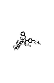 CCc1ccc(C2=C(C)C(C)(CC(F)(F)C(F)(F)C(F)(F)C(F)(F)F)C(=O)N2Cc2ccccc2)cc1